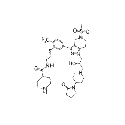 CS(=O)(=O)N1CCc2c(c(-c3ccc(C(F)(F)F)c(SCCNC(=O)C4CCNCC4)c3)nn2CC(O)CN2CCC(N3CCCC3=O)CC2)C1